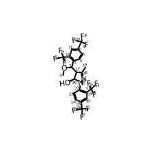 COC(c1ccc(C(F)(F)F)cc1C(F)(F)F)C1C(C)=NN(c2ccc(C(F)(F)F)cc2C(F)(F)F)C1O